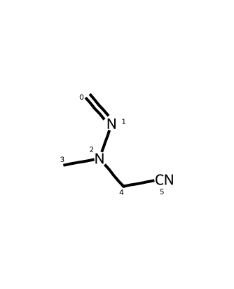 C=NN(C)CC#N